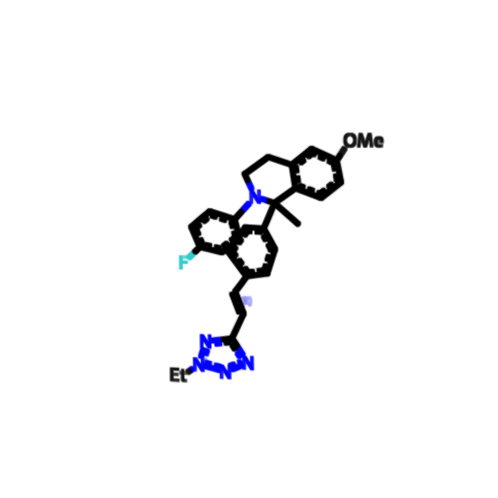 CCn1nnc(/C=C/c2ccc(C3(C)c4ccc(OC)cc4CCN3c3ccc(F)cc3)cc2)n1